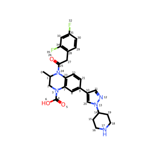 CC1CN(C(=O)O)c2cc(-c3cnn(C4CCNCC4)c3)ccc2N1C(=O)Cc1ccc(F)cc1F